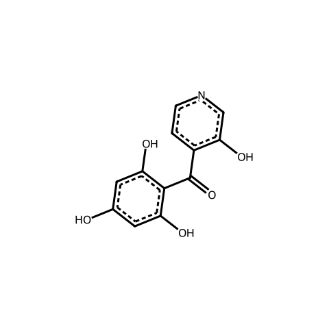 O=C(c1ccncc1O)c1c(O)cc(O)cc1O